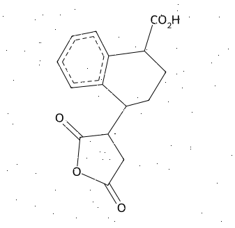 O=C1CC(C2CCC(C(=O)O)c3ccccc32)C(=O)O1